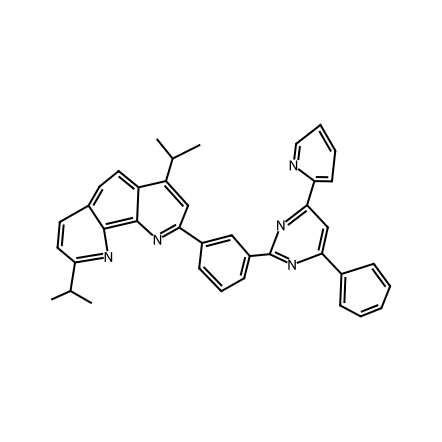 CC(C)c1ccc2ccc3c(C(C)C)cc(-c4cccc(-c5nc(-c6ccccc6)cc(-c6ccccn6)n5)c4)nc3c2n1